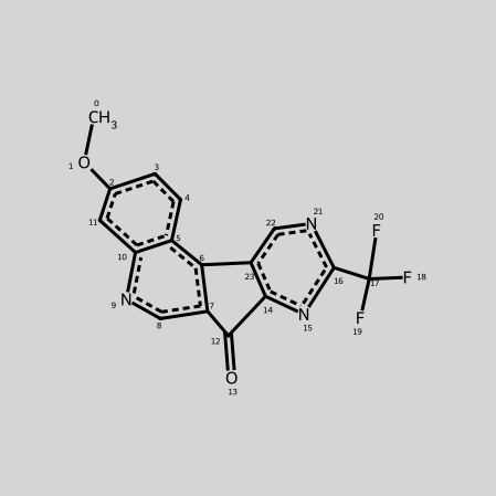 COc1ccc2c3c(cnc2c1)C(=O)c1nc(C(F)(F)F)ncc1-3